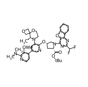 COc1c(-c2cnc(O[C@H]3C[C@@H](C(=O)OC(C)(C)C)N(c4nc(C(F)F)nc5c4oc4ccccc45)C3)c(N3CCOC4(COC4)[C@@H]3C)c2)ccnc1N(C)C